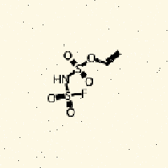 C=COS(=O)(=O)NS(=O)(=O)F